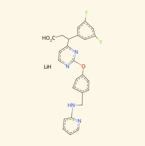 O=C(O)CC(c1cc(F)cc(F)c1)c1ccnc(Oc2ccc(CNc3ccccn3)cc2)n1.[LiH]